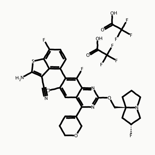 N#Cc1c(N)sc2c(F)ccc(-c3c(Cl)cc4c(C5=CCCOC5)nc(OC[C@@]56CCCN5C[C@H](F)C6)nc4c3F)c12.O=C(O)C(F)(F)F.O=C(O)C(F)(F)F